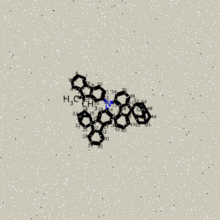 CC1(C)c2ccccc2-c2ccc(N(c3ccc4c(c3)C3(CC5CCC3C5)c3ccccc3-4)c3cccc4c3-c3ccccc3C43C4CC5CC(C4)CC3C5)cc21